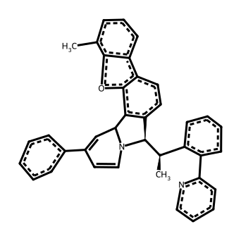 Cc1cccc2c1oc1c3c(ccc12)[C@@H]([C@H](C)c1ccccc1-c1ccccn1)N1C=CC(c2ccccc2)=CC31